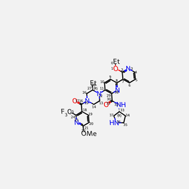 CCOc1ncccc1-c1ccc(N2CCN(C(=O)c3ccc(OC)nc3C(F)(F)F)C[C@H]2CC)c(C(=O)N[C@@H]2CCNC2)n1